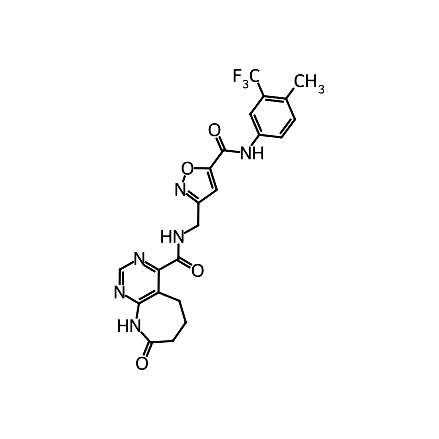 Cc1ccc(NC(=O)c2cc(CNC(=O)c3ncnc4c3CCCC(=O)N4)no2)cc1C(F)(F)F